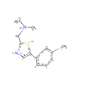 Cc1cccc(-c2cnc(CN(C)C)s2)c1